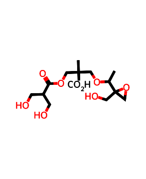 CC(OCC(C)(COC(=O)C(CO)CO)C(=O)O)C1(CO)CO1